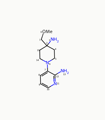 COCC1(N)CCN(c2cccnc2N)CC1